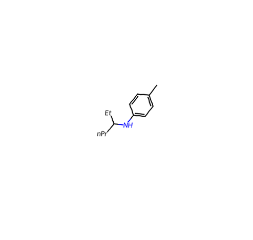 CCCC(CC)Nc1ccc(C)cc1